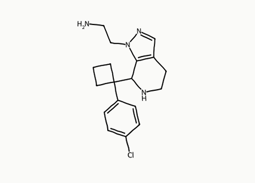 NCCn1ncc2c1C(C1(c3ccc(Cl)cc3)CCC1)NCC2